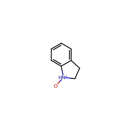 [O-][NH+]1[CH]Cc2ccccc21